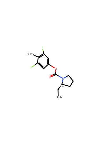 CC(=O)OC[C@@H]1CCCN1C(=O)Oc1cc(F)c(C=O)c(F)c1